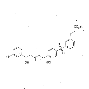 CCOC(=O)CCc1cccc(S(=O)(=O)c2ccc(CCNC[C@H](O)c3cccc(Cl)c3)cc2)c1.Cl